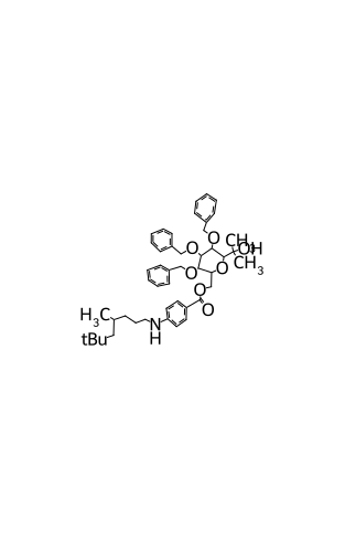 CC(CCCNc1ccc(C(=O)OCC2OC(C(C)(C)O)C(OCc3ccccc3)C(OCc3ccccc3)C2OCc2ccccc2)cc1)CC(C)(C)C